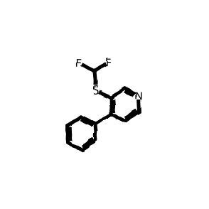 FC(F)Sc1cnccc1-c1ccccc1